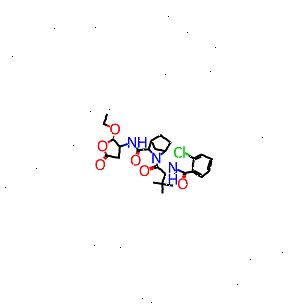 CCO[C@H]1OC(=O)CC1NC(=O)C1C2CCC(C2)N1C(=O)C(NC(=O)c1ccccc1Cl)C(C)(C)C